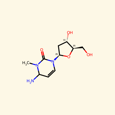 CN1C(=O)N([C@H]2C[C@H](O)[C@@H](CO)O2)C=CC1N